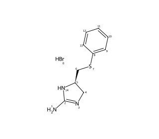 Br.NC1=NC[C@H](CSc2ccccc2)N1